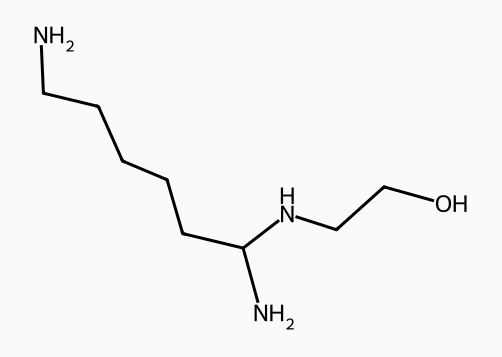 NCCCCCC(N)NCCO